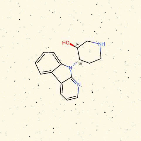 O[C@H]1CNCC[C@@H]1n1c2ccccc2c2cccnc21